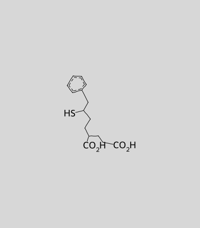 O=C(O)CCC(CCC(S)Cc1ccccc1)C(=O)O